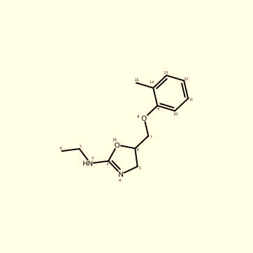 CCNC1=NCC(COc2ccccc2C)O1